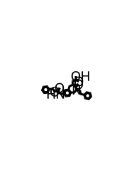 O=C(O)CC1Cc2cc(NC(=O)OCc3ccccc3)ccc2CN(CCc2ccccc2)C1=O